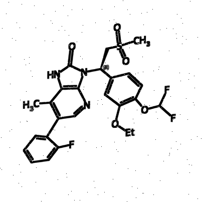 CCOc1cc([C@H](CS(C)(=O)=O)n2c(=O)[nH]c3c(C)c(-c4ccccc4F)cnc32)ccc1OC(F)F